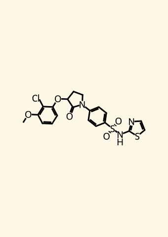 COc1cccc(OC2CCN(c3ccc(S(=O)(=O)Nc4nccs4)cc3)C2=O)c1Cl